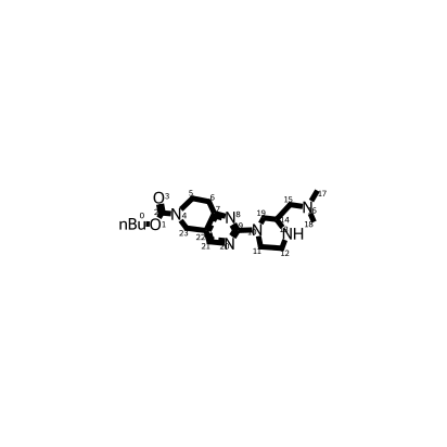 CCCCOC(=O)N1CCc2nc(N3CCNC(CN(C)C)C3)ncc2C1